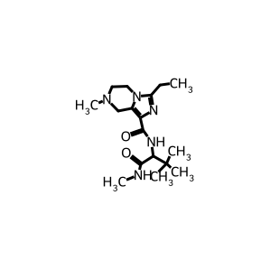 CCc1nc(C(=O)NC(C(=O)NC)C(C)(C)C)c2n1CCN(C)C2